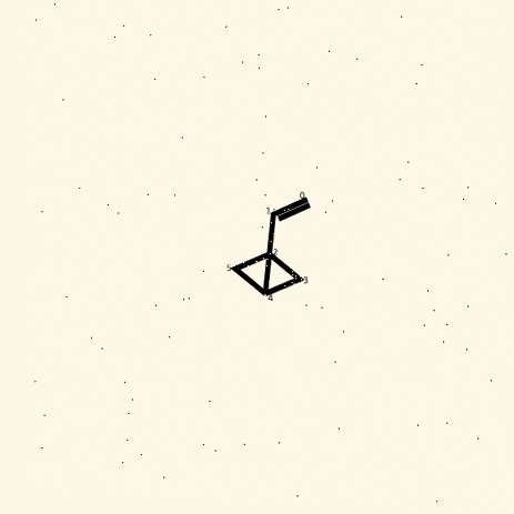 C=CC12CC1C2